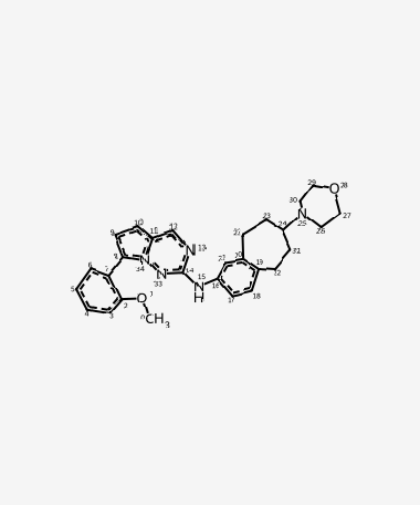 COc1ccccc1-c1ccc2cnc(Nc3ccc4c(c3)CCC(N3CCOCC3)CC4)nn12